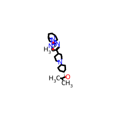 CCN1CC2CCC(C1)N2c1ncc(C2CCN([C@H]3CC[C@@H](C(=O)C(C)C)CC3)CC2)cn1